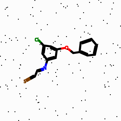 S=CC=Nc1cc(Cl)cc(OCc2ccccc2)c1